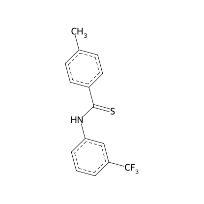 Cc1ccc(C(=S)Nc2cccc(C(F)(F)F)c2)cc1